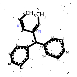 C/C=C\C(=C/C)C(c1ccccc1)c1ccccc1